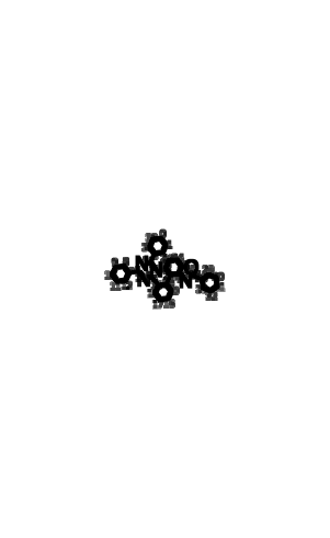 c1ccc(-c2nc(-c3ccccc3)nc(-c3ccccc3-c3cccc4oc(-c5ccccc5)nc34)n2)cc1